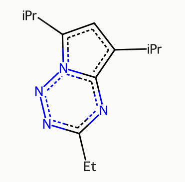 CCc1nnn2c(C(C)C)cc(C(C)C)c2n1